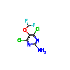 Nc1nc(Cl)c(OC(F)F)c(Cl)n1